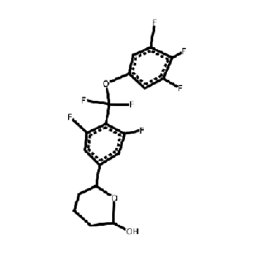 OC1CCCC(c2cc(F)c(C(F)(F)Oc3cc(F)c(F)c(F)c3)c(F)c2)O1